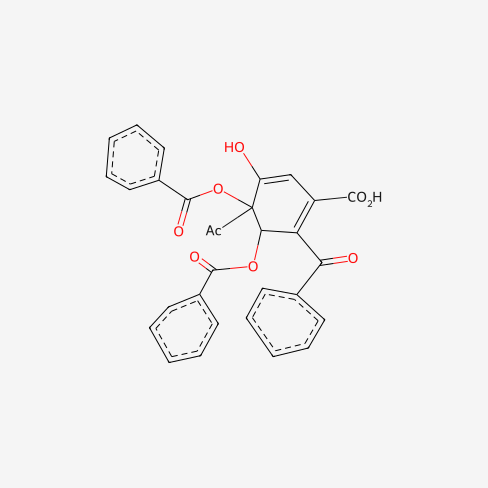 CC(=O)C1(OC(=O)c2ccccc2)C(O)=CC(C(=O)O)=C(C(=O)c2ccccc2)C1OC(=O)c1ccccc1